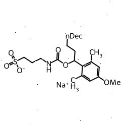 CCCCCCCCCCCCC(OC(=O)NCCCS(=O)(=O)[O-])c1c(C)cc(OC)cc1C.[Na+]